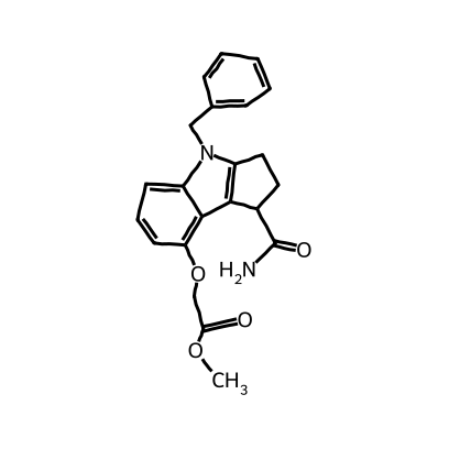 COC(=O)COc1cccc2c1c1c(n2Cc2ccccc2)CCC1C(N)=O